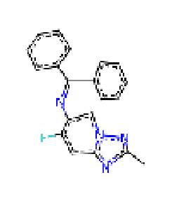 Cc1nc2cc(F)c(N=C(c3ccccc3)c3ccccc3)cn2n1